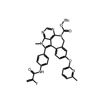 C=C(F)C(=O)Nc1ccc(-c2c3c4c(ncnc4n2C)N(C(=O)OC(C)(C)C)Cc2cc(Oc4cccc(C)n4)ccc2-3)cc1